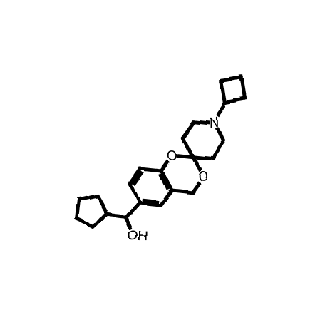 OC(c1ccc2c(c1)COC1(CCN(C3CCC3)CC1)O2)C1CCCC1